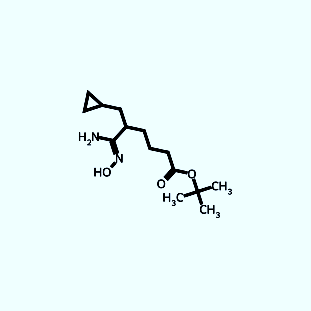 CC(C)(C)OC(=O)CCCC(CC1CC1)/C(N)=N/O